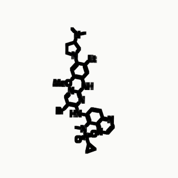 CCc1cc(Nc2ncc(Br)c(Nc3ccc4nccnc4c3N(C)S(=O)(=O)C3CC3)n2)c(OC)cc1N1CCC(N(C)C)C1